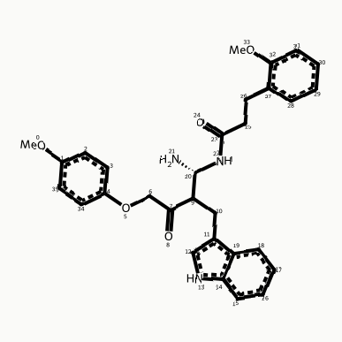 COc1ccc(OCC(=O)C(Cc2c[nH]c3ccccc23)[C@H](N)NC(=O)CCc2ccccc2OC)cc1